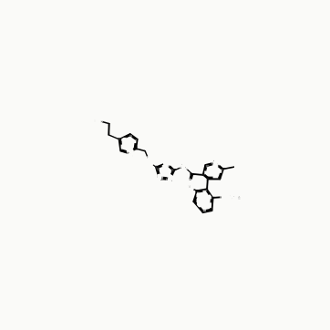 COc1cccc(F)c1-c1cc(C)ncc1C(=O)Nc1nnc(OCc2ccc(CCO)cn2)s1